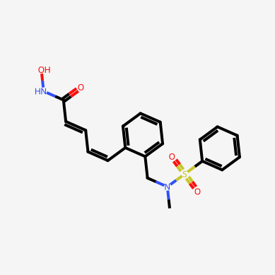 CN(Cc1ccccc1/C=C\C=C\C(=O)NO)S(=O)(=O)c1ccccc1